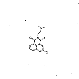 CN(C)CCN1C(=O)c2cccc3cc(Cl)cc(c23)C1=O